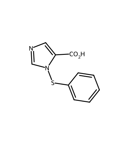 O=C(O)c1cncn1Sc1ccccc1